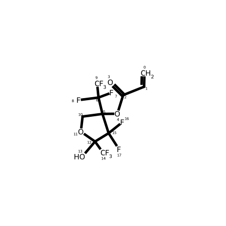 C=CC(=O)OC1(C(F)(F)C(F)(F)F)COC(O)(C(F)(F)F)C1(F)F